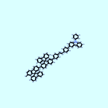 Cc1ccc2c(c1)C1(c3ccccc3-c3ccccc31)c1cc(-c3ccc4c(c3)C3(c5ccccc5-c5ccccc53)c3cc(-c5ccc(/C=C/c6ccc(-c7ccc8c(c7)c7ccccc7n8-c7ccccc7)cc6)cc5)ccc3-4)ccc1-2